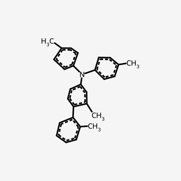 Cc1ccc(N(c2ccc(C)cc2)c2ccc(-c3ccccc3C)c(C)c2)cc1